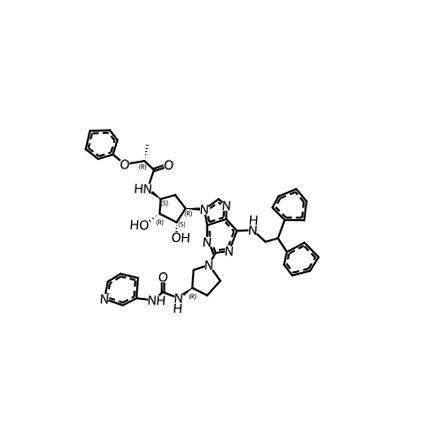 C[C@@H](Oc1ccccc1)C(=O)N[C@H]1C[C@@H](n2cnc3c(NCC(c4ccccc4)c4ccccc4)nc(N4CC[C@@H](NC(=O)Nc5cccnc5)C4)nc32)[C@H](O)[C@@H]1O